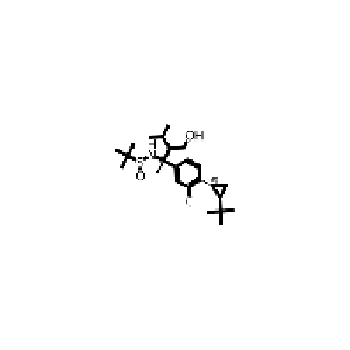 CC(C)C(CO)[C@@](C)(N[S+]([O-])C(C)(C)C)c1ccc([C@@H]2CC2C(C)(C)C)c(Cl)c1